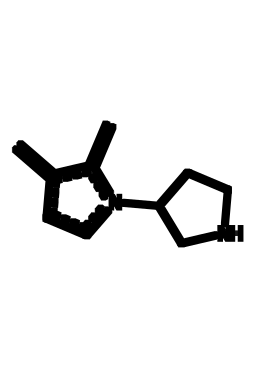 C=c1ccn(C2CCNC2)c1=C